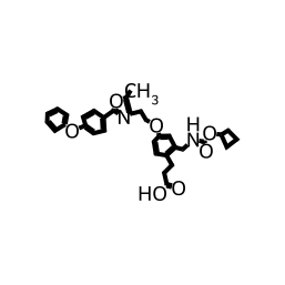 Cc1oc(-c2ccc(Oc3ccccc3)cc2)nc1CCOc1ccc(CCC(=O)O)c(CNC(=O)OC2CCC2)c1